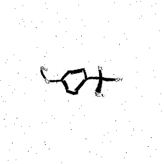 CCC(C)Oc1ccc(C(S)(CC)CC)cc1